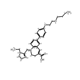 CCCCOCCOc1ccc(-c2ccc3c(c2)C=C(C(=O)O)CCN3Cc2nnnn2CC)cc1